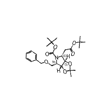 CC(C)(C)OC(=O)C[C@H]1[C@@H]2OC(C)(C)O[C@@H]2[C@@H](COCc2ccccc2)N1C(=O)OC(C)(C)C